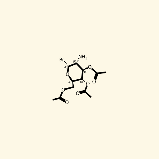 CC(=O)OC[C@H]1O[C@H](Br)[C@H](N)[C@@H](OC(C)=O)[C@@H]1OC(C)=O